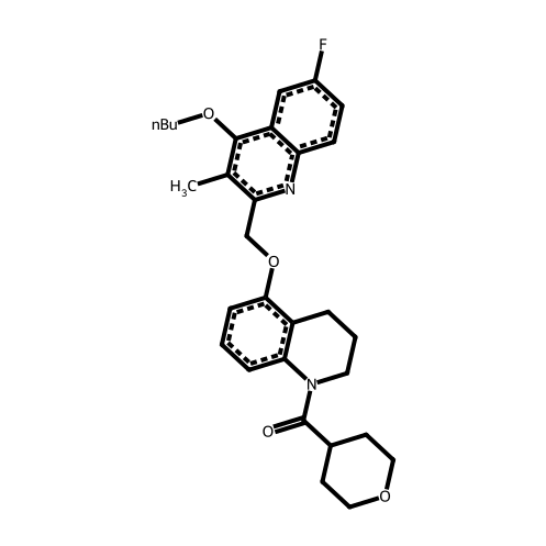 CCCCOc1c(C)c(COc2cccc3c2CCCN3C(=O)C2CCOCC2)nc2ccc(F)cc12